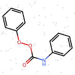 O=C(Nc1ccccc1)OOc1ccccc1